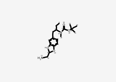 CCC(Cc1ccc2c(c1)OC(CN)O2)N(C)C(=O)OC(C)(C)C